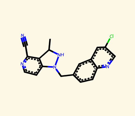 CC1NN(Cc2ccc3ncc(Cl)cc3c2)c2ccnc(C#N)c21